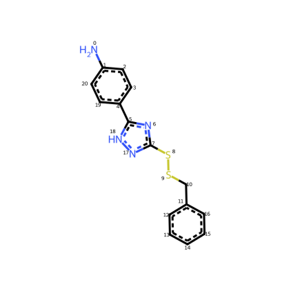 Nc1ccc(-c2nc(SSCc3ccccc3)n[nH]2)cc1